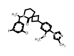 COc1cc(C2CC3(CCCN(C(C)c4cc(F)cc(Cl)c4)C3=O)C2)ccc1-n1cnc(C)c1